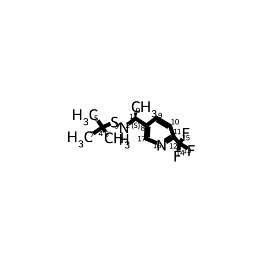 C[C@H](NSC(C)(C)C)c1ccc(C(F)(F)F)nc1